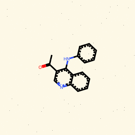 CC(=O)c1cnc2ccccc2c1Nc1ccccc1